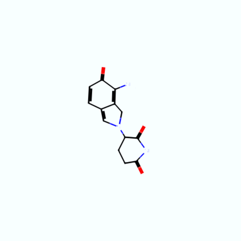 NC1=C2CN(C3CCC(=O)NC3=O)C=C2C=CC1=O